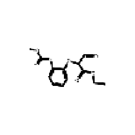 CCOC(=O)C(C=O)Oc1ccccc1SC(=O)OC